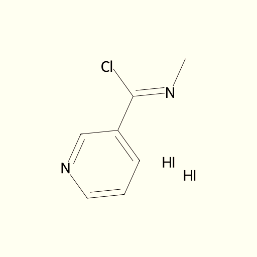 CN=C(Cl)c1cccnc1.I.I